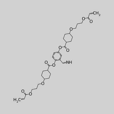 C=CC(=O)OCCCOC1CCC(C(=O)Oc2ccc(OC(=O)C3CCC(OCCCOC(=O)C=C)CC3)c(C=N)c2)CC1